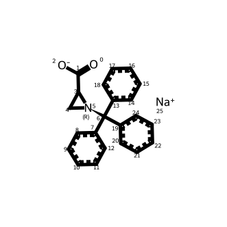 O=C([O-])C1C[N@]1C(c1ccccc1)(c1ccccc1)c1ccccc1.[Na+]